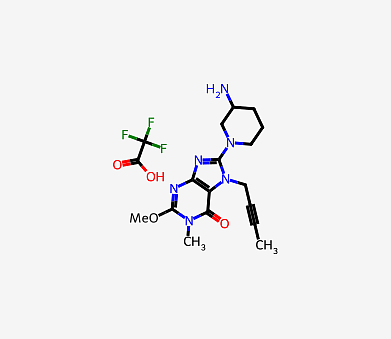 CC#CCn1c(N2CCCC(N)C2)nc2nc(OC)n(C)c(=O)c21.O=C(O)C(F)(F)F